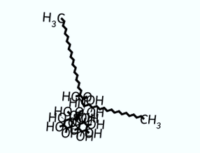 CCCCCCCCCCCCCCCCCCCCC(O)C(=O)N[C@@H](COP(=O)(O)O[C@H]1C(O)C(O)C(O)[C@@H](O)C1O[C@H]1O[C@H](CO)[C@@H](O)C(O)C1O)[C@H](O)[C@H](O)CCCCCCCCCCCCCC